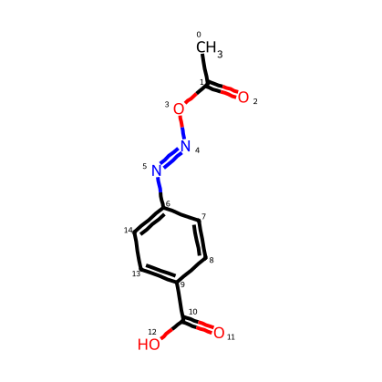 CC(=O)ON=Nc1ccc(C(=O)O)cc1